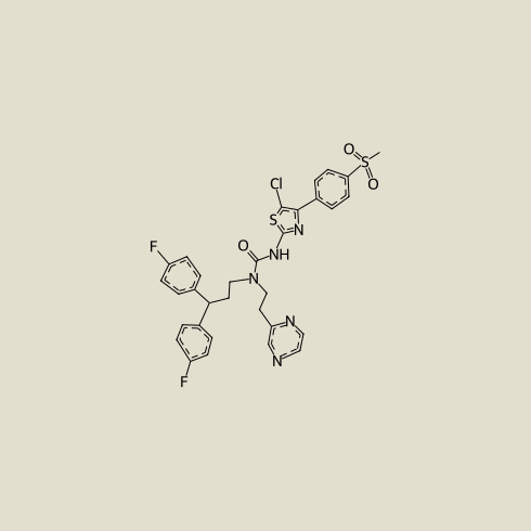 CS(=O)(=O)c1ccc(-c2nc(NC(=O)N(CCc3cnccn3)CCC(c3ccc(F)cc3)c3ccc(F)cc3)sc2Cl)cc1